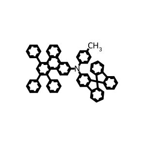 Cc1ccc(N(c2ccc3c(c2)C2(c4ccccc4-c4ccccc42)c2ccccc2-3)c2ccc3c(c2)c2ccccc2c2c(-c4ccccc4)cc(-c4ccccc4)c(-c4ccccc4)c32)cc1